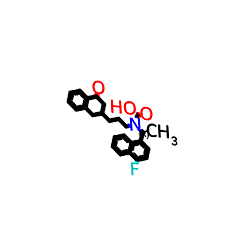 C[C@H](c1ccc(F)c2ccccc12)N(CCCC1CC(=O)c2ccccc2C1)C(=O)O